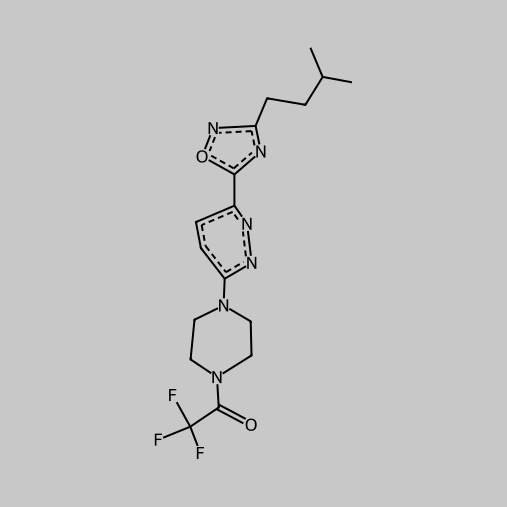 CC(C)CCc1noc(-c2ccc(N3CCN(C(=O)C(F)(F)F)CC3)nn2)n1